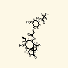 C=C[C@]1(C)C[C@@H](OC(=O)CS[C@@H]2CC[C@@H](NC(=O)C(F)(F)F)C[C@H]2O)[C@]2(C)C(C)CC34C(=O)CC[C@@]3([C@@H](C)[C@@H]1O)[C@@H]42